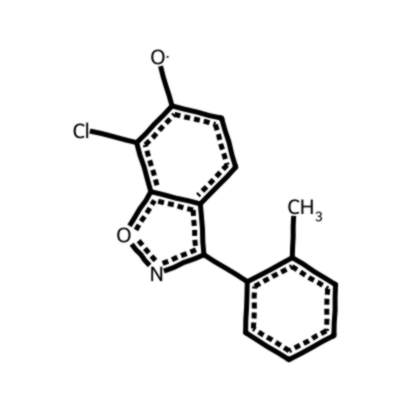 Cc1ccccc1-c1noc2c(Cl)c([O])ccc12